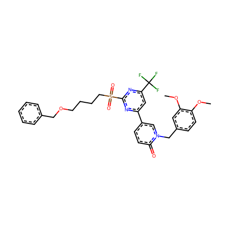 COc1ccc(Cn2cc(-c3cc(C(F)(F)F)nc(S(=O)(=O)CCCCOCc4ccccc4)n3)ccc2=O)cc1OC